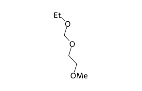 [CH2]COCOCCOC